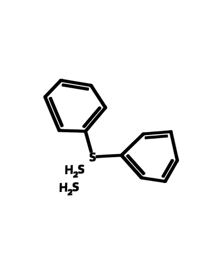 S.S.c1ccc(Sc2ccccc2)cc1